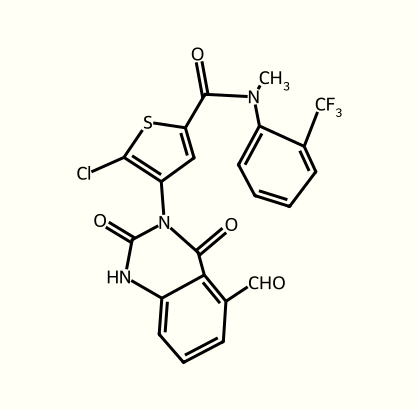 CN(C(=O)c1cc(-n2c(=O)[nH]c3cccc(C=O)c3c2=O)c(Cl)s1)c1ccccc1C(F)(F)F